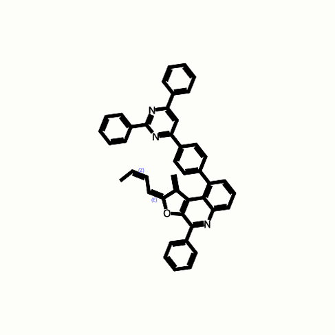 C=c1/c(=C\C=C/C)oc2c(-c3ccccc3)nc3cccc(-c4ccc(-c5cc(-c6ccccc6)nc(-c6ccccc6)n5)cc4)c3c12